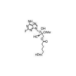 C#CC(COC(=O)CCCCCCCCCCCCCC)(OC)[C@@H](O)Cn1cnc2c(N)nc(F)nc21